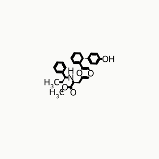 CC[C@H](N[C@@H](CC1=COC=C(C2=CC=CC[C@@H]2c2ccc(O)cc2)O1)C(=O)OC)c1ccccc1